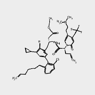 C=CCCCCc1cccc(Cl)c1-c1cc(C2CC2)c(F)c([C@H](CC(=O)OCC)NC(=O)[C@H](CC=C)n2cc(CCN(C)C)c(C(F)(F)F)cc2=O)c1